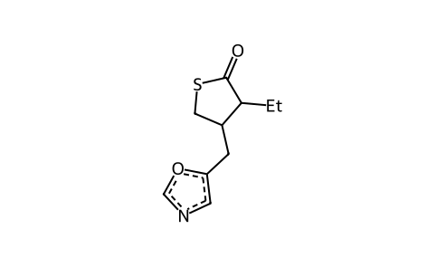 CCC1C(=O)SCC1Cc1cnco1